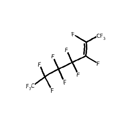 FC(=C(F)C(F)(F)C(F)(F)C(F)(F)C(F)(F)F)C(F)(F)F